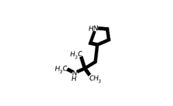 CNC(C)(C)CC1CCNC1